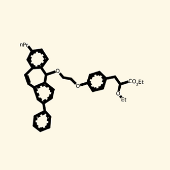 CCCc1ccc2c(c1)C=Cc1cc(-c3ccccc3)ccc1C2OCCOc1ccc(CC(OCC)C(=O)OCC)cc1